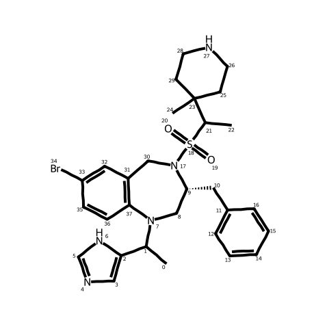 CC(c1cnc[nH]1)N1C[C@@H](Cc2ccccc2)N(S(=O)(=O)C(C)C2(C)CCNCC2)Cc2cc(Br)ccc21